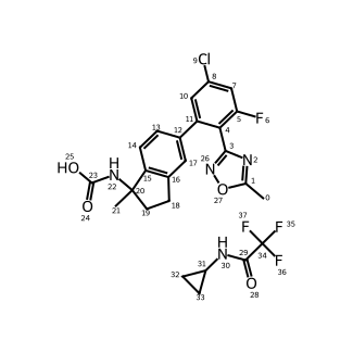 Cc1nc(-c2c(F)cc(Cl)cc2-c2ccc3c(c2)CCC3(C)NC(=O)O)no1.O=C(NC1CC1)C(F)(F)F